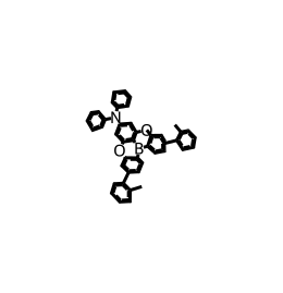 Cc1ccccc1-c1ccc2c(c1)Oc1cc(N(c3ccccc3)c3ccccc3)cc3c1B2c1ccc(-c2ccccc2C)cc1O3